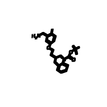 Cc1ccc(OCCC2Cc3ccccc3N(C(=O)OC(C)(C)C)C2)cc1CN